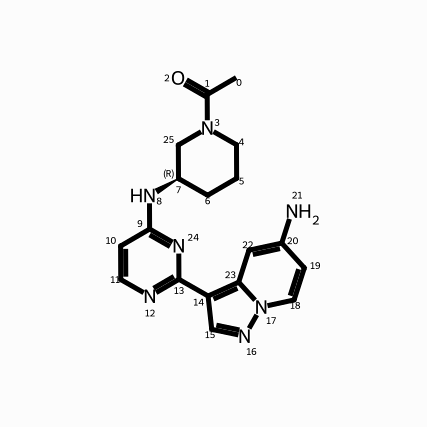 CC(=O)N1CCC[C@@H](Nc2ccnc(-c3cnn4ccc(N)cc34)n2)C1